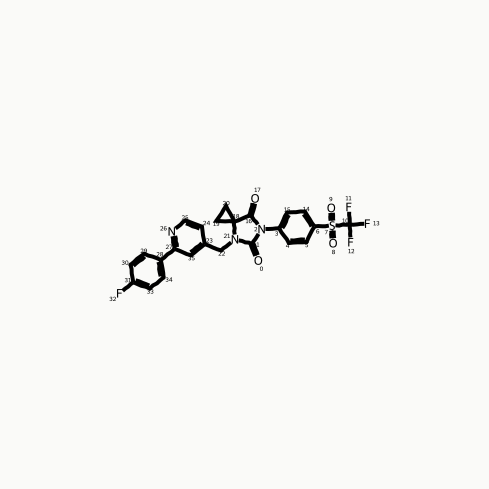 O=C1N(c2ccc(S(=O)(=O)C(F)(F)F)cc2)C(=O)C2(CC2)N1Cc1ccnc(-c2ccc(F)cc2)c1